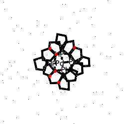 C1CCC([PH](C2CCCC2)(C2CCCC2)[Pd]([PH](C2CCCC2)(C2CCCC2)C2CCCC2)([PH](C2CCCC2)(C2CCCC2)C2CCCC2)[PH](C2CCCC2)(C2CCCC2)C2CCCC2)C1